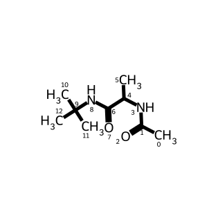 CC(=O)NC(C)C(=O)NC(C)(C)C